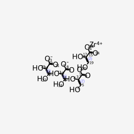 O=C([O-])/C(O)=C/O.O=C([O-])/C(O)=C/O.O=C([O-])/C(O)=C/O.O=C([O-])/C(O)=C/O.[Zr+4]